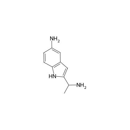 CC(N)c1cc2cc(N)ccc2[nH]1